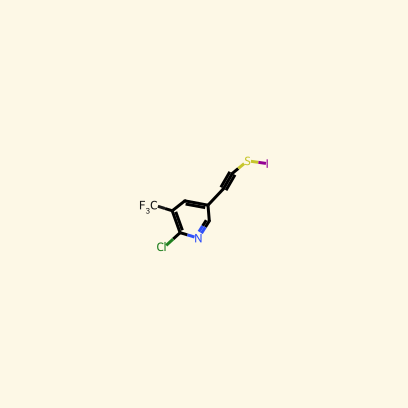 FC(F)(F)c1cc(C#CSI)cnc1Cl